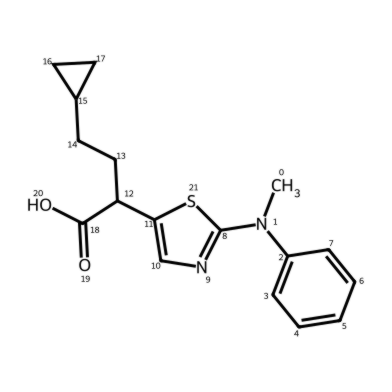 CN(c1ccccc1)c1ncc(C(CCC2CC2)C(=O)O)s1